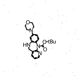 CC(C)(C)OC(=O)N1c2ccc(N3CCOCC3)cc2NCc2cccnc21